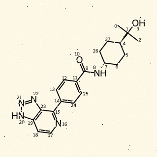 CC(C)(O)[C@H]1CC[C@H](NC(=O)c2ccc(-c3nccc4[nH]nnc34)cc2)CC1